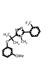 COc1cccc(OC(C)(C)c2nnc(-c3ccccc3C(F)(F)F)n2C)c1